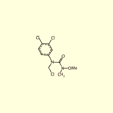 CON(C)C(=O)N(CCl)c1ccc(Cl)c(Cl)c1